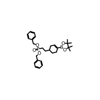 CC1(C)OB(C2=CCC(CCP(=O)(OCc3ccccc3)OCc3ccccc3)CC2)OC1(C)C